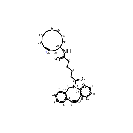 O=C(CCCCC(=O)N1Cc2ccccc2C#Cc2ccccc21)NC1C/C=C\CCCCCCC1